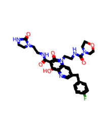 O=C(NCCN1CCNC1=O)c1c(O)c2ncc(Cc3ccc(F)cc3)cc2n(CCNC(=O)N2CCOCC2)c1=O